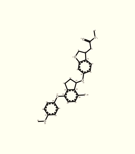 COC(=O)CC1COc2cc(OC3CCc4c(Oc5ccc(OC)cc5)ccc(F)c43)ccc21